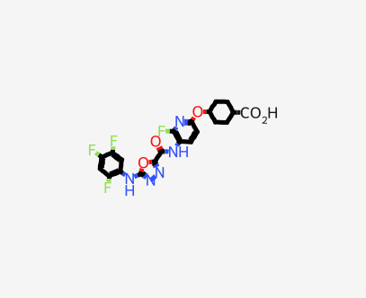 O=C(Nc1ccc(OC2CCC(C(=O)O)CC2)nc1F)c1nnc(Nc2cc(F)c(F)cc2F)o1